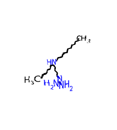 CCCCCCCCCCCCNC(CCCCCCC)CCCCN=C(N)N